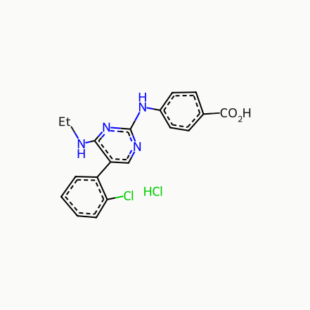 CCNc1nc(Nc2ccc(C(=O)O)cc2)ncc1-c1ccccc1Cl.Cl